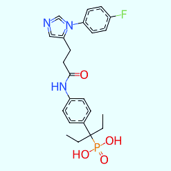 CCC(CC)(c1ccc(NC(=O)CCc2cncn2-c2ccc(F)cc2)cc1)P(=O)(O)O